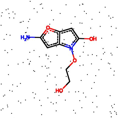 Nc1cc2c(cc(O)n2OCCO)o1